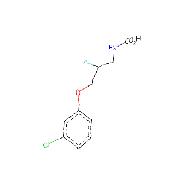 O=C(O)NCC(F)COc1cccc(Cl)c1